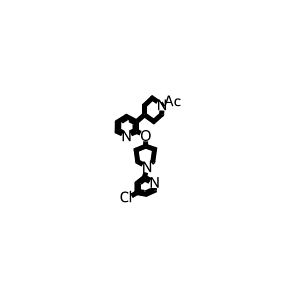 CC(=O)N1CCC(c2cccnc2OC2CCN(c3cc(Cl)ccn3)CC2)CC1